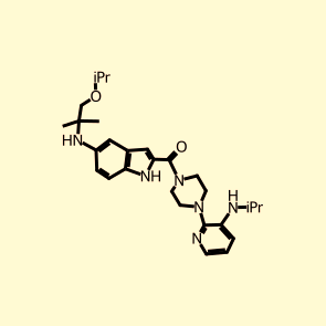 CC(C)Nc1cccnc1N1CCN(C(=O)c2cc3cc(NC(C)(C)COC(C)C)ccc3[nH]2)CC1